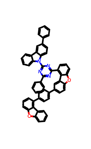 c1ccc(-c2ccc3c(c2)c2ccccc2n3-c2nc(-c3ccccc3)nc(-c3cccc4oc5ccc(-c6ccc(-c7cccc8oc9ccccc9c78)cc6)cc5c34)n2)cc1